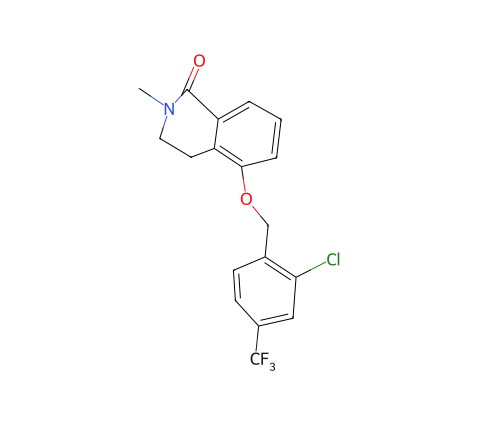 CN1CCc2c(OCc3ccc(C(F)(F)F)cc3Cl)cccc2C1=O